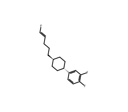 FC=CCCC[C@H]1CC[C@H](c2ccc(F)c(F)c2)CC1